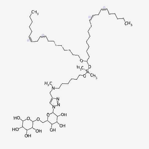 CCCCC/C=C\C/C=C\CCCCCCCCOC(CCCCCCC/C=C\C/C=C\CCCCC)O[Si](C)(C)OCCCCCCN(C)Cc1cn(C2OC(COC3OC(O)C(O)C(O)C3O)C(O)C(O)C2O)nn1